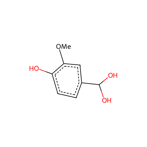 COc1cc(C(O)O)ccc1O